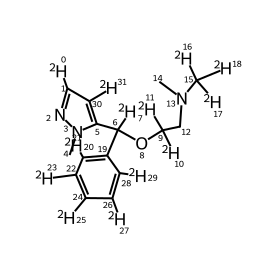 [2H]c1nn(C)c(C([2H])(OC([2H])([2H])CN(C)C([2H])([2H])[2H])c2c([2H])c([2H])c([2H])c([2H])c2[2H])c1[2H]